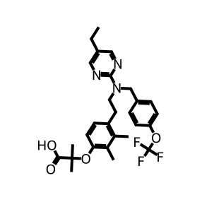 CCc1cnc(N(CCc2ccc(OC(C)(C)C(=O)O)c(C)c2C)Cc2ccc(OC(F)(F)F)cc2)nc1